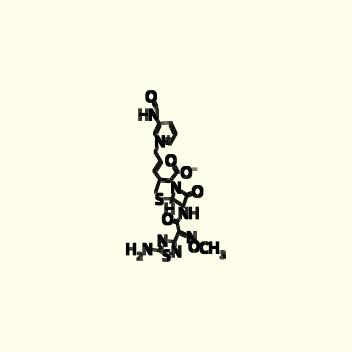 CON=C(C(=O)NC1C(=O)N2C(C(=O)[O-])=C(C=CC[n+]3cccc(NC=O)c3)CS[C@@H]12)c1nsc(N)n1